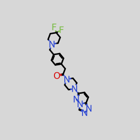 O=C(Cc1ccc(CN2CCC(F)(F)CC2)cc1)N1CCN(c2ccc3nncn3n2)CC1